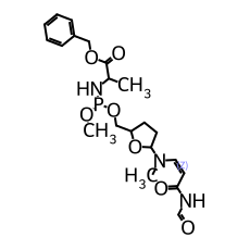 COP(NC(C)C(=O)OCc1ccccc1)OCC1CCC(N(C)/C=C\C(=O)NC=O)O1